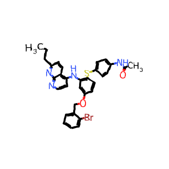 CCCc1ccc2c(Nc3cc(OCc4ccccc4Br)ccc3Sc3ccc(NC(C)=O)cc3)ccnc2n1